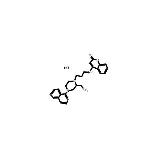 Cl.O=c1cc(NCCCN2CCN(c3nccc4ccccc34)CC2CC(F)(F)F)c2ccccc2o1